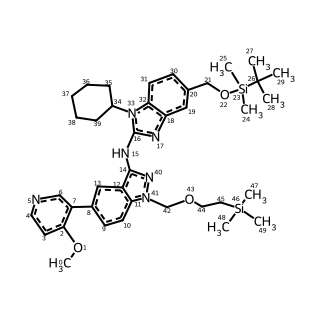 COc1ccncc1-c1ccc2c(c1)c(Nc1nc3cc(CO[Si](C)(C)C(C)(C)C)ccc3n1C1CCCCC1)nn2COCC[Si](C)(C)C